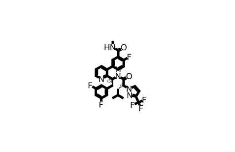 CNC(=O)c1cc(-c2cccnc2[C@H](Cc2cc(F)cc(F)c2)NC(=O)[C@@H](CC(C)C)n2ccc(C(F)(F)F)n2)ccc1F